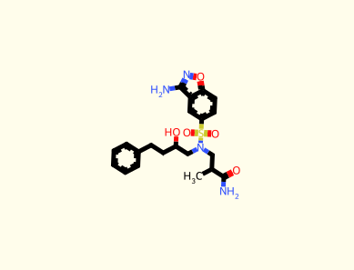 CC(CN(CC(O)[CH]Cc1ccccc1)S(=O)(=O)c1ccc2onc(N)c2c1)C(N)=O